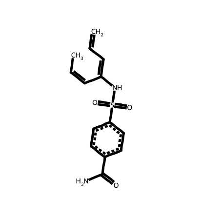 C=C/C=C(\C=C/C)NS(=O)(=O)c1ccc(C(N)=O)cc1